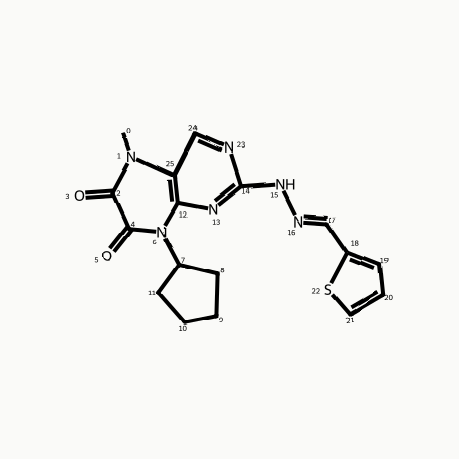 Cn1c(=O)c(=O)n(C2CCCC2)c2nc(NN=Cc3cccs3)ncc21